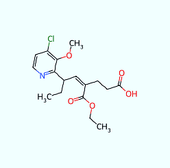 CCOC(=O)C(=CC(CC)c1nccc(Cl)c1OC)CCC(=O)O